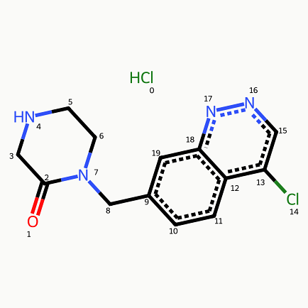 Cl.O=C1CNCCN1Cc1ccc2c(Cl)cnnc2c1